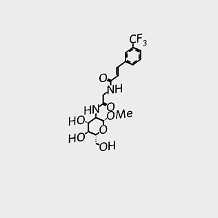 CO[C@@H]1O[C@H](CO)[C@@H](O)[C@H](O)[C@H]1NC(=O)CNC(=O)/C=C/c1cccc(C(F)(F)F)c1